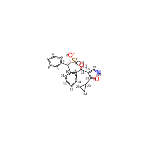 C[S+]([O-])C(c1ccccc1)c1ccccc1C(=O)c1cnoc1C1CC1